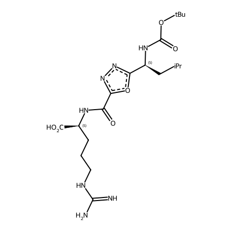 CC(C)C[C@H](NC(=O)OC(C)(C)C)c1nnc(C(=O)N[C@@H](CCCNC(=N)N)C(=O)O)o1